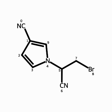 N#Cc1ccn(C(C#N)CBr)c1